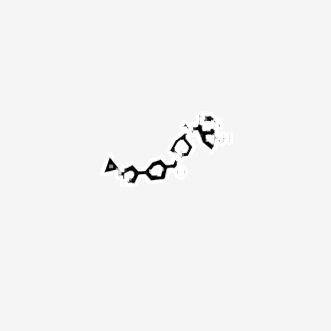 CN(c1ncnc2[nH]ccc12)C1CCN(C(=O)c2ccc(-c3cnn(C4CC4)c3)cc2)CC1